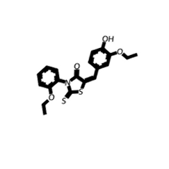 CCOc1cc(C=C2SC(=S)N(c3ccccc3OCC)C2=O)ccc1O